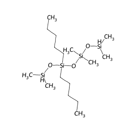 CCCCC[Si](CCCCC)(O[SiH](C)C)O[Si](C)(C)O[SiH](C)C